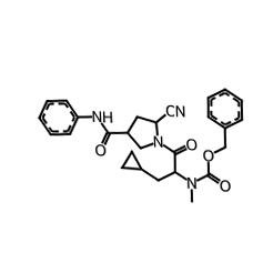 CN(C(=O)OCc1ccccc1)C(CC1CC1)C(=O)N1CC(C(=O)Nc2ccccc2)CC1C#N